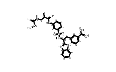 CC(CNC(=O)OC(C)(C)C)C(=O)Nc1cccc(S(=O)(=O)NC(Cc2cccc(C(=N)N)c2)c2nc3ccccc3s2)c1